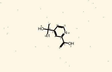 C=C(O)c1cc(C(C)(O)CC)ccn1